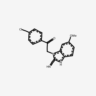 COc1ccc2[nH]c(=N)n(CC(=O)c3ccc(Cl)cc3)c2c1